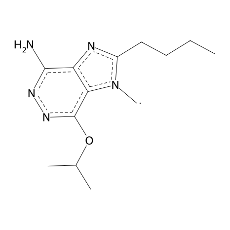 [CH2]n1c(CCCC)nc2c(N)nnc(OC(C)C)c21